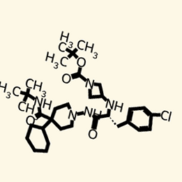 CC(C)(C)NC(=O)C1(C2CCCCC2)CCN(NC(=O)[C@@H](Cc2ccc(Cl)cc2)NC2CN(C(=O)OC(C)(C)C)C2)CC1